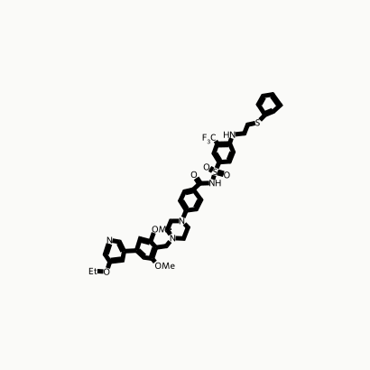 CCOc1cncc(-c2cc(OC)c(CN3CCN(c4ccc(C(=O)NS(=O)(=O)c5ccc(NCCSc6ccccc6)c(C(F)(F)F)c5)cc4)CC3)c(OC)c2)c1